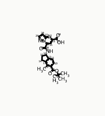 Cc1c(C(=O)OC(C)(C)C)ccc2c1CC[C@@H]2NC(=O)c1cc(C(=O)O)nc2ccnn12